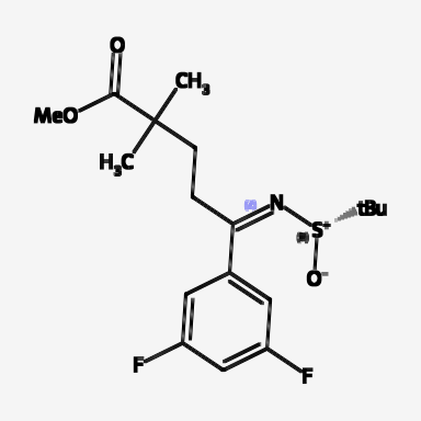 COC(=O)C(C)(C)CC/C(=N/[S@@+]([O-])C(C)(C)C)c1cc(F)cc(F)c1